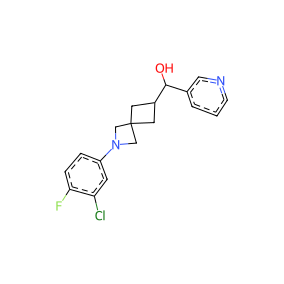 OC(c1cccnc1)C1CC2(C1)CN(c1ccc(F)c(Cl)c1)C2